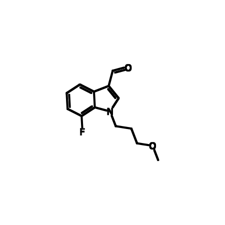 COCCCn1cc(C=O)c2cccc(F)c21